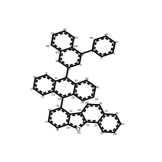 c1ccc(-c2cc(-c3c4ccccc4c(-c4cccc5oc6c7ccccc7ccc6c45)c4ccccc34)cc3ccccc23)cc1